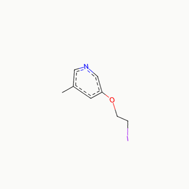 Cc1cncc(OCCI)c1